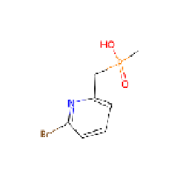 CP(=O)(O)Cc1cccc(Br)n1